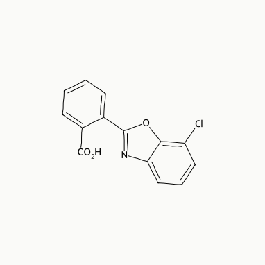 O=C(O)c1ccccc1-c1nc2cccc(Cl)c2o1